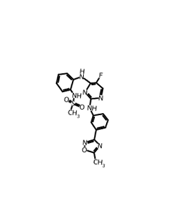 Cc1nc(-c2cccc(Nc3ncc(F)c(Nc4ccccc4NS(C)(=O)=O)n3)c2)no1